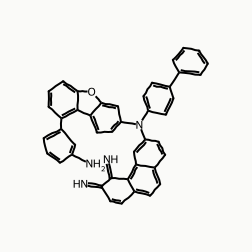 N=C1C=Cc2ccc3ccc(N(c4ccc(-c5ccccc5)cc4)c4ccc5c(c4)oc4cccc(-c6cccc(N)c6)c45)cc3c2C1=N